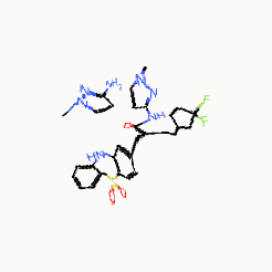 Cn1ccc(N)n1.Cn1ccc(NC(=O)C(CC2CCC(F)(F)C2)c2ccc3c(c2)Nc2ccccc2S3(=O)=O)n1